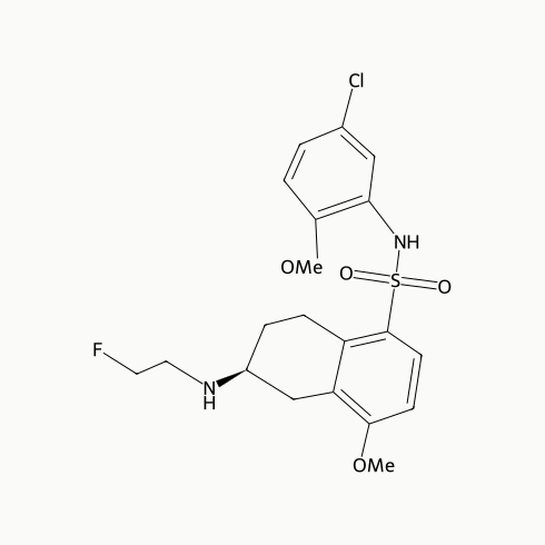 COc1ccc(Cl)cc1NS(=O)(=O)c1ccc(OC)c2c1CC[C@H](NCCF)C2